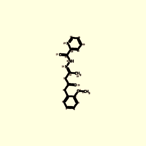 COc1ccccc1CC(=O)C/C(C)=N/NC(=O)c1ccccn1